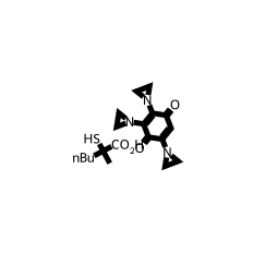 CCCCC(C)(S)C(=O)O.O=C1C=C(N2CC2)C(=O)C(N2CC2)=C1N1CC1